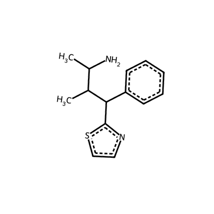 CC(N)C(C)C(c1ccccc1)c1nccs1